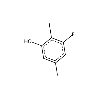 Cc1cc(O)c(I)c(F)c1